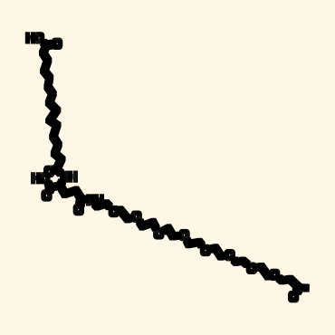 CC(=O)CCOCCOCCOCCOCCOCCOCCOCCOCCNC(=O)CCC(NC(=O)CCCCCCCCCCCCCCC(=O)O)C(=O)O